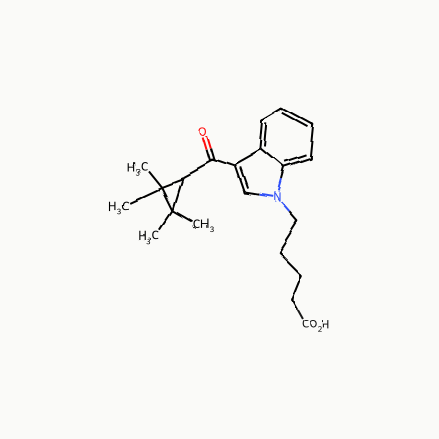 CC1(C)C(C(=O)c2cn(CCCCC(=O)O)c3ccccc23)C1(C)C